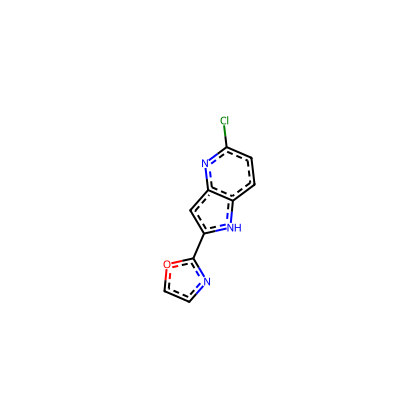 Clc1ccc2[nH]c(-c3ncco3)cc2n1